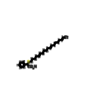 CCC=CCC=CCC=CCC=CCC=CCCCCSC(C(=O)O)c1ccccc1